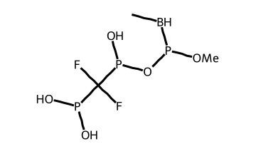 CBP(OC)OP(O)C(F)(F)P(O)O